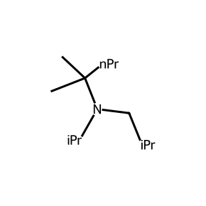 CCCC(C)(C)N(CC(C)C)C(C)C